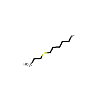 CC(C)CCCCCSCCC(=O)O